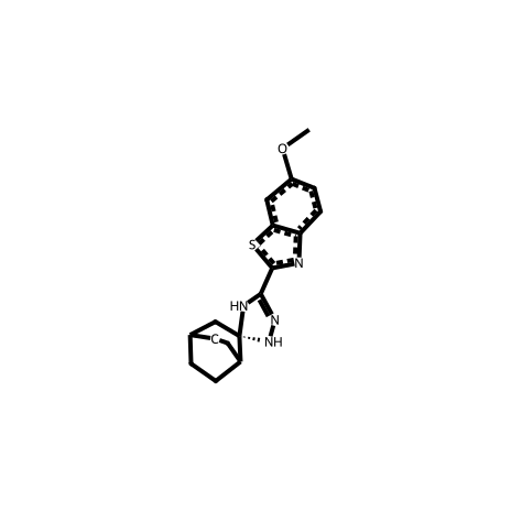 COc1ccc2nc(C3=NN[C@]4(CC5CCC4CC5)N3)sc2c1